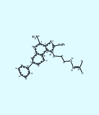 CCCc1nc2c(N)nc3cc(-c4ccccc4)ccc3c2n1CCCON=C(C)C